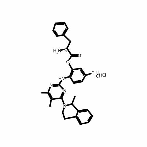 Cc1nc(Nc2ccc(F)cc2OC(=O)[C@@H](N)Cc2ccccc2)nc(N2CCc3ccccc3C2C)c1C.Cl.Cl